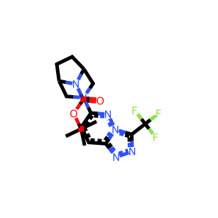 CC(C)(C)OC(=O)N1C2CCC1CN(c1ccc3nnc(C(F)(F)F)n3n1)C2